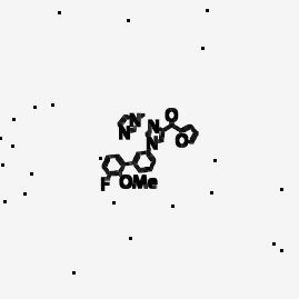 COc1c(F)cccc1-c1cccc(-n2cnc(C(=O)c3ccco3)c2)c1.Cn1ccnc1